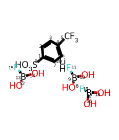 O=S(=O)(O)c1ccc(C(F)(F)F)cc1.OB(O)F.OB(O)F.OB(O)F.[LiH]